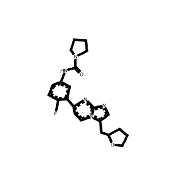 O=C(Nc1ccc(F)c(-c2ccn3c(CC4CCCO4)cnc3n2)c1)N1CCCC1